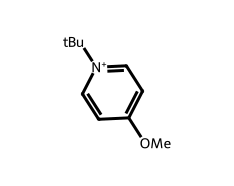 COc1cc[n+](C(C)(C)C)cc1